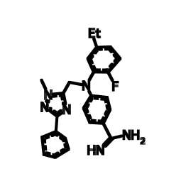 CCc1ccc(F)c(N(Cc2nc(-c3ccccc3)nn2C)c2ccc(C(=N)N)cc2)c1